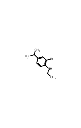 CCNc1ccc(C(C)C)cc1Br